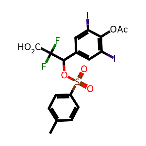 CC(=O)Oc1c(I)cc(C(OS(=O)(=O)c2ccc(C)cc2)C(F)(F)C(=O)O)cc1I